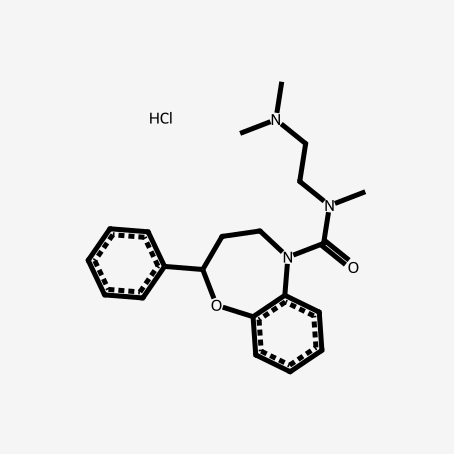 CN(C)CCN(C)C(=O)N1CCC(c2ccccc2)Oc2ccccc21.Cl